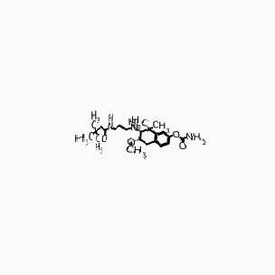 CO[C@H]1Cc2ccc(OC(N)=O)cc2C(C)(C)[C@@H]1NCCCNC(=O)CC(C)(C)C